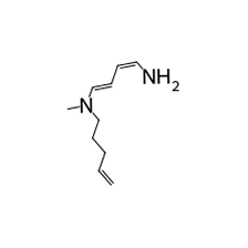 C=CCCCN(C)/C=C/C=C\N